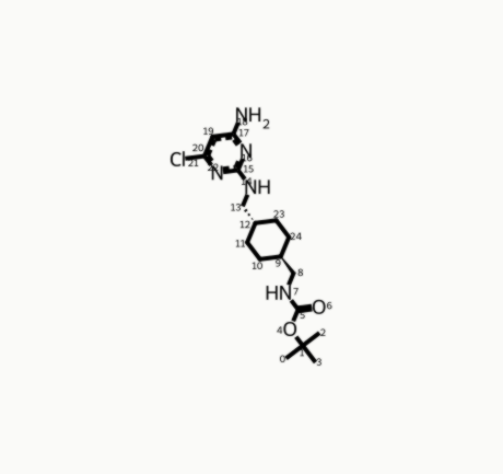 CC(C)(C)OC(=O)NC[C@H]1CC[C@H](CNc2nc(N)cc(Cl)n2)CC1